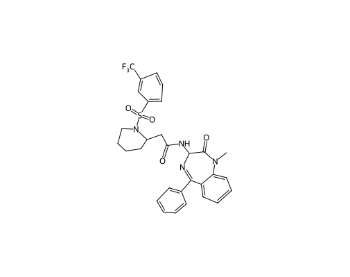 CN1C(=O)C(NC(=O)CC2CCCCN2S(=O)(=O)c2cccc(C(F)(F)F)c2)N=C(c2ccccc2)c2ccccc21